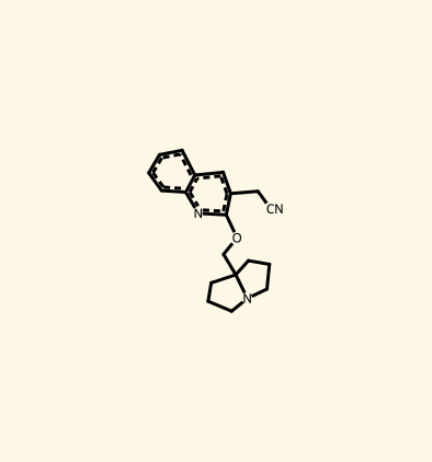 N#CCc1cc2ccccc2nc1OCC12CCCN1CCC2